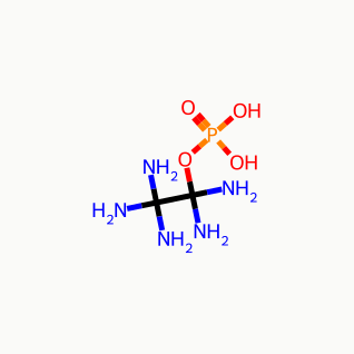 NC(N)(N)C(N)(N)OP(=O)(O)O